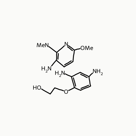 CNc1nc(OC)ccc1N.Nc1ccc(OCCO)c(N)c1